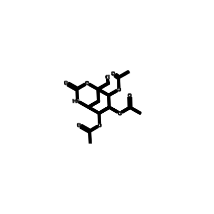 CC(=O)OC1C2CC(CCl)(OC(=O)N2)C(OC(C)=O)C1OC(C)=O